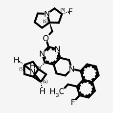 CCc1c(F)ccc2cccc(N3CCc4c(nc(OC[C@@]56CCCN5C[C@H](F)C6)nc4[C@@]45C[C@@H]6CC4[C@H](C5)N6)C3)c12